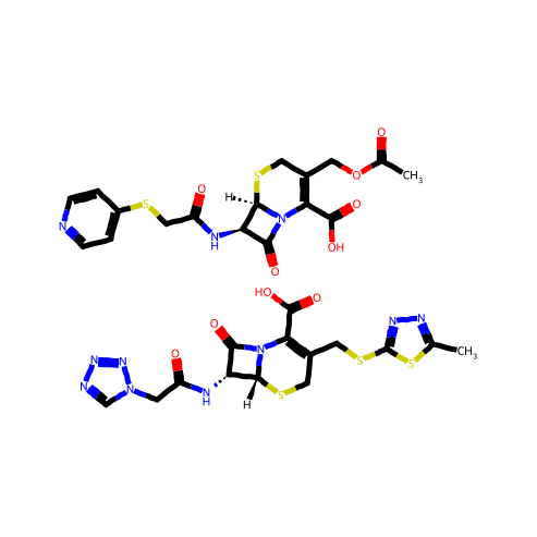 CC(=O)OCC1=C(C(=O)O)N2C(=O)[C@@H](NC(=O)CSc3ccncc3)[C@H]2SC1.Cc1nnc(SCC2=C(C(=O)O)N3C(=O)[C@@H](NC(=O)Cn4cnnn4)[C@H]3SC2)s1